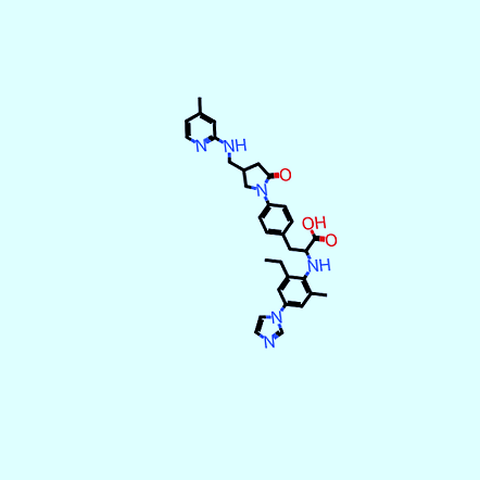 CCc1cc(-n2ccnc2)cc(C)c1NC(Cc1ccc(N2CC(CNc3cc(C)ccn3)CC2=O)cc1)C(=O)O